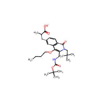 CCCCOc1c(CNC(=O)OC(C)(C)C)n(CC(C)(C)C)c(=O)c2ccc(CC(C)C(=O)O)cc12